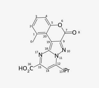 Cc1cccc2oc(=O)c3nn4c(C(C)C)cc(C(=O)O)nc4c3c12